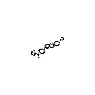 O=C(c1ccco1)N1CCN(c2ccc3c(c2)CCC2(CCN(C4CCC4)CC2)O3)CC1